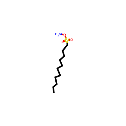 CCCCCCCCCCCS(=O)(=O)ON